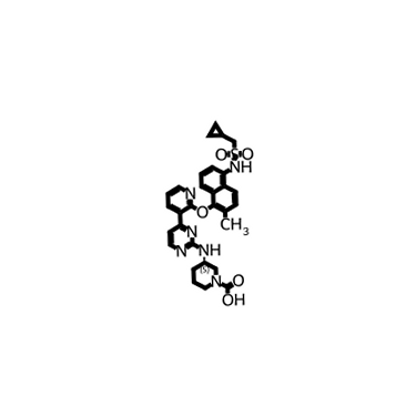 Cc1ccc2c(NS(=O)(=O)CC3CC3)cccc2c1Oc1ncccc1-c1ccnc(N[C@H]2CCCN(C(=O)O)C2)n1